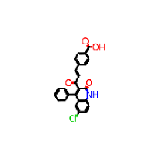 O=C(O)c1ccc(C=CC(=O)c2c(-c3ccccc3)c3cc(Cl)ccc3[nH]c2=O)cc1